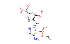 CCOC(=O)c1c(N)cnn1Cc1ccc(C(=O)OC)cc1OC